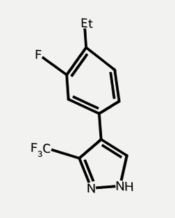 CCc1ccc(-c2c[nH]nc2C(F)(F)F)cc1F